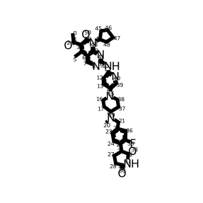 CC(=O)c1c(C)c2cnc(Nc3ccc(N4CCC(N(C)Cc5ccc(C6CCC(=O)NC6=O)c(F)c5)CC4)cn3)nc2n(C2CCCC2)c1=O